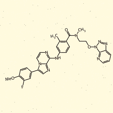 COc1ccc(-c2cnc3c(Nc4ccc(C(=O)N(C)CCOn5nnc6cccnc65)c(C)c4)nccn23)cc1F